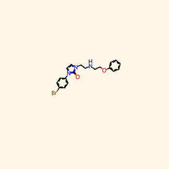 O=c1n(CCNCCOc2ccccc2)ccn1-c1ccc(Br)cc1